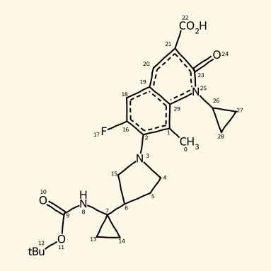 Cc1c(N2CCC(C3(NC(=O)OC(C)(C)C)CC3)C2)c(F)cc2cc(C(=O)O)c(=O)n(C3CC3)c12